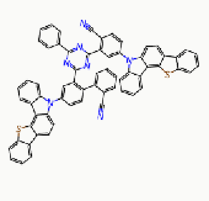 N#Cc1ccc(-n2c3ccccc3c3c4sc5ccccc5c4ccc32)cc1-c1nc(-c2ccccc2)nc(-c2cc(-n3c4ccccc4c4c5sc6ccccc6c5ccc43)ccc2-c2ccccc2C#N)n1